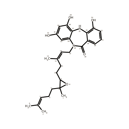 CC(C)=CCCC1(C)OC1CCC(C)=CCN1C(=O)c2cccc(O)c2Nc2c(O)cc(O)cc21